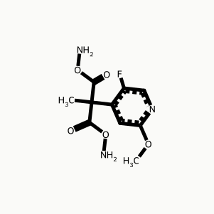 COc1cc(C(C)(C(=O)ON)C(=O)ON)c(F)cn1